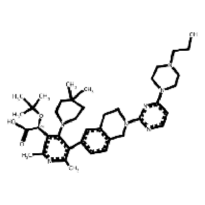 Cc1nc(C)c([C@H](OC(C)(C)C)C(=O)O)c(N2CCC(C)(C)CC2)c1-c1ccc2c(c1)CCN(c1nccc(N3CCN(CCO)CC3)n1)C2